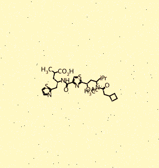 CC(=O)OC(CC(C(C)C)N(C)C(=O)CC1CCC1)c1nc(C(=O)N[C@@H](Cc2nccs2)CC(C)C(=O)O)cs1